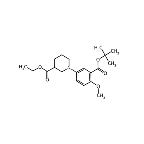 CCOC(=O)C1CCCN(c2ccc(OC)c(C(=O)OC(C)(C)C)c2)C1